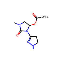 COC(=O)OC1CN(C)C(=O)N1C1=NNCC1